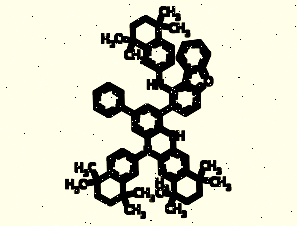 CC1(C)CCC(C)(C)c2cc(Nc3c(-c4cc(-c5ccccc5)cc5c4Bc4cc6c(cc4N5c4ccc5c(c4)C(C)(C)CCC5(C)C)C(C)(C)CCC6(C)C)ccc4oc5ccccc5c34)ccc21